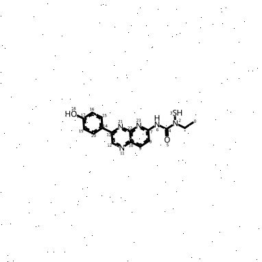 CCN(S)C(=O)Nc1ccc2ncc(-c3ccc(O)cc3)nc2n1